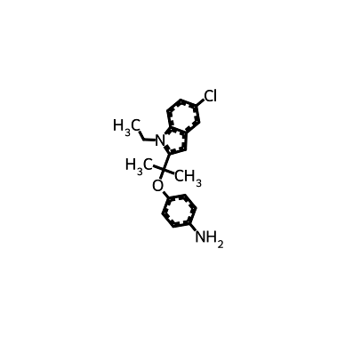 CCn1c(C(C)(C)Oc2ccc(N)cc2)cc2cc(Cl)ccc21